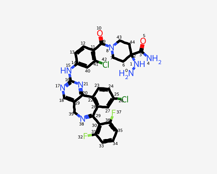 NNC1(C(N)=O)CCN(C(=O)c2ccc(Nc3ncc4c(n3)-c3ccc(Cl)cc3C(c3c(F)cccc3F)=NC4)cc2Cl)CC1